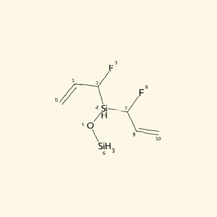 C=CC(F)[SiH](O[SiH3])C(F)C=C